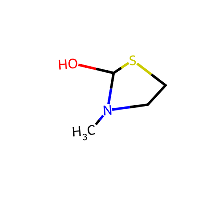 CN1CCSC1O